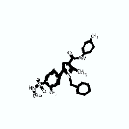 Cc1c(C(=O)NC2CCC(C)CC2)cc(-c2ccc(S(=O)(=O)NC(C)(C)C)c(C(F)(F)F)c2)n1CC1CCCCC1